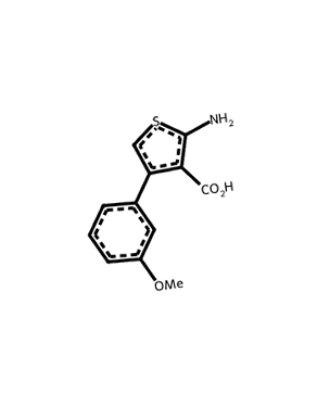 COc1cccc(-c2csc(N)c2C(=O)O)c1